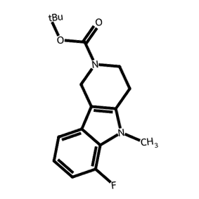 Cn1c2c(c3cccc(F)c31)CN(C(=O)OC(C)(C)C)CC2